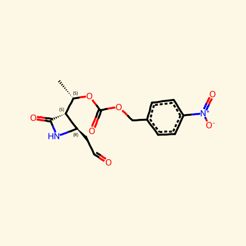 C[C@H](OC(=O)OCc1ccc([N+](=O)[O-])cc1)[C@H]1C(=O)N[C@@H]1CC=O